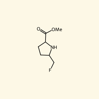 COC(=O)C1CCC(CF)N1